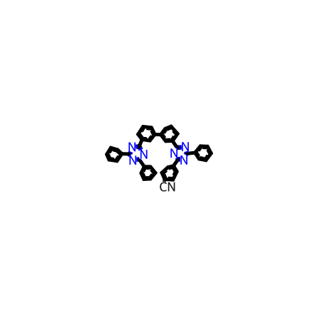 N#Cc1ccc(-c2nc(-c3ccccc3)nc(-c3cccc(-c4cccc(-c5nc(-c6ccccc6)nc(-c6ccccc6)n5)c4)c3)n2)cc1